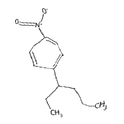 CCCC(CC)c1ccc([N+](=O)[O-])cc1